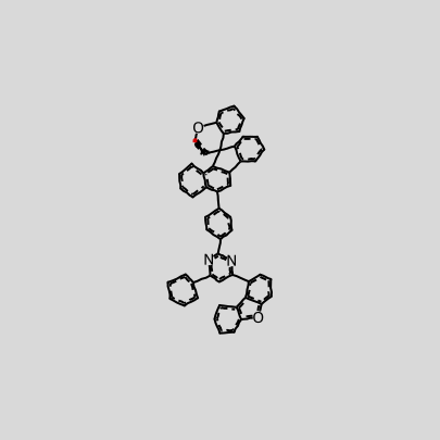 c1ccc(-c2cc(-c3cccc4oc5ccccc5c34)nc(-c3ccc(-c4cc5c(c6ccccc46)C4(c6ccccc6Oc6ccccc64)c4ccccc4-5)cc3)n2)cc1